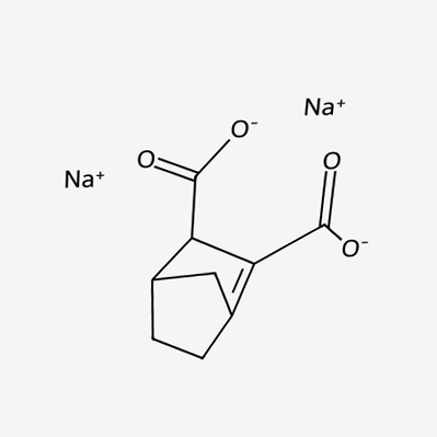 O=C([O-])C1=C2CCC(C2)C1C(=O)[O-].[Na+].[Na+]